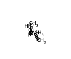 C=CC(=O)Nc1cccc(Oc2nc(Nc3ccc(N4CCN(C)CC4)cc3C)nn3nccc23)c1